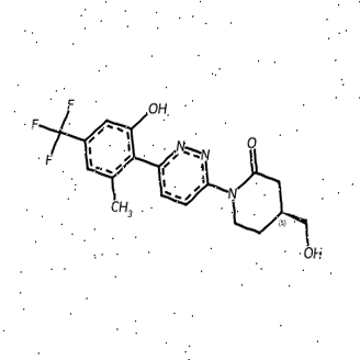 Cc1cc(C(F)(F)F)cc(O)c1-c1ccc(N2CC[C@H](CO)CC2=O)nn1